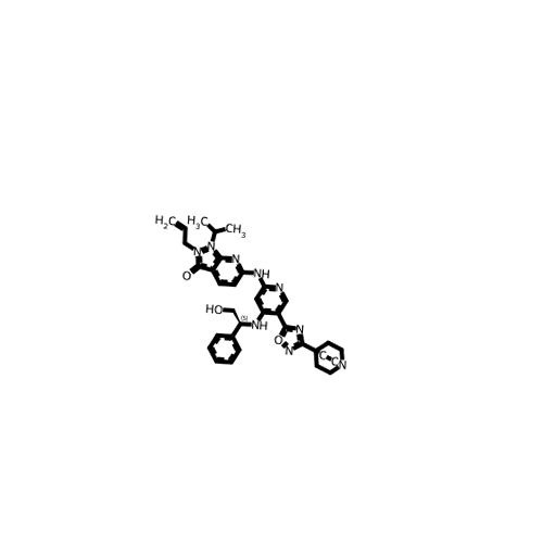 C=CCn1c(=O)c2ccc(Nc3cc(N[C@H](CO)c4ccccc4)c(-c4nc(C56CCN(CC5)CC6)no4)cn3)nc2n1C(C)C